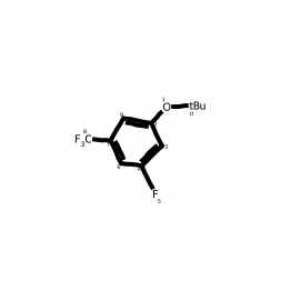 CC(C)(C)Oc1cc(F)cc(C(F)(F)F)c1